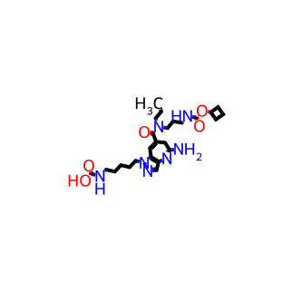 CCCN(CCCNC(=O)OC1CCC1)C(=O)C1=Cc2c(cnn2CCCCCNC(=O)O)N=C(N)C1